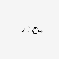 CC[N]S(=O)(=O)c1ccc(Br)cc1